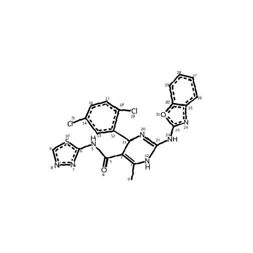 CC1=C(C(=O)Nc2nncs2)C(c2cc(Cl)ccc2Cl)N=C(Nc2nc3ccccc3o2)N1